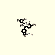 CC(=O)N1C[C@H](F)C[C@H]1C(=O)N[C@@H](c1ccc2cnn(C)c2c1)c1ccc(C(C)C)c(F)n1